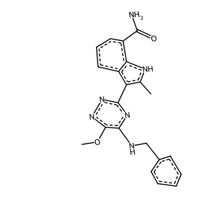 COc1nnc(-c2c(C)[nH]c3c(C(N)=O)cccc23)nc1NCc1ccccc1